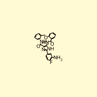 NC(=O)c1nc(-c2ccc(F)c(N)c2)[nH]c1NC(=O)c1ccccc1OCc1ccccc1